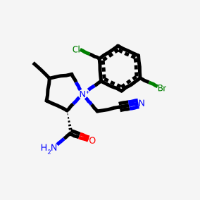 CC1C[C@@H](C(N)=O)[N+](CC#N)(c2cc(Br)ccc2Cl)C1